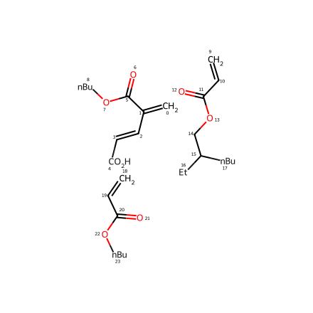 C=C(C=CC(=O)O)C(=O)OCCCC.C=CC(=O)OCC(CC)CCCC.C=CC(=O)OCCCC